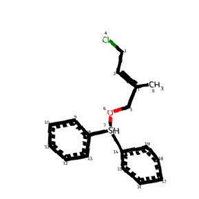 CC(=CCCl)CO[SiH](c1ccccc1)c1ccccc1